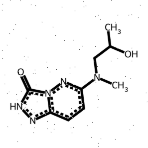 CC(O)CN(C)c1ccc2n[nH]c(=O)n2n1